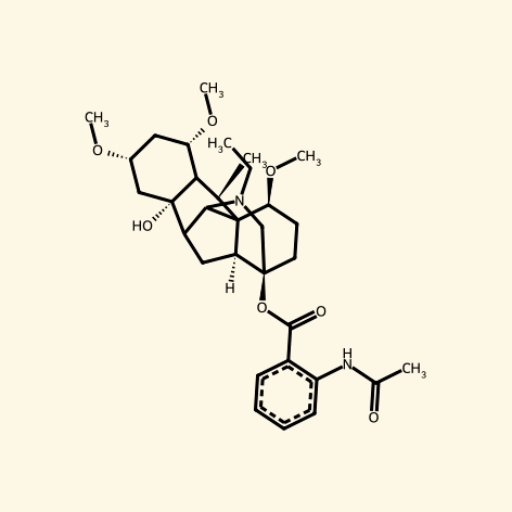 CCN1C[C@]2(OC(=O)c3ccccc3NC(C)=O)CC[C@H](OC)C34C1C(C[C@@H]32)[C@@]1(O)C[C@H](OC)C[C@H](OC)C1[C@H]4C